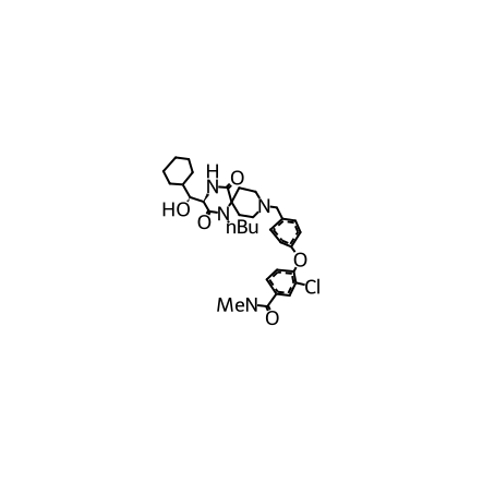 CCCCN1C(=O)[C@@H]([C@H](O)C2CCCCC2)NC(=O)C12CCN(Cc1ccc(Oc3ccc(C(=O)NC)cc3Cl)cc1)CC2